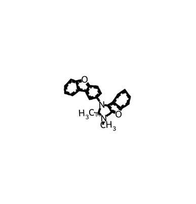 C[C@H]1N(C)c2oc3ccccc3c2N1c1ccc2oc3ccccc3c2c1